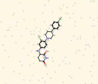 O=C1CCC(Nc2ccc(N3CCC(c4ccc(Br)cc4)CC3)c(F)c2)C(=O)N1